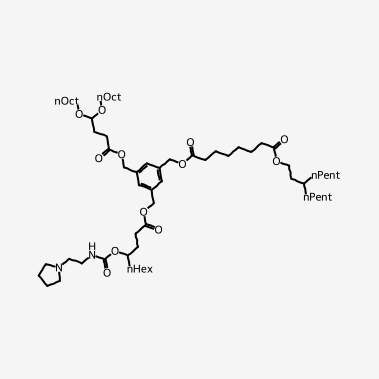 CCCCCCCCOC(CCC(=O)OCc1cc(COC(=O)CCCCCCC(=O)OCCC(CCCCC)CCCCC)cc(COC(=O)CCC(CCCCCC)OC(=O)NCCN2CCCC2)c1)OCCCCCCCC